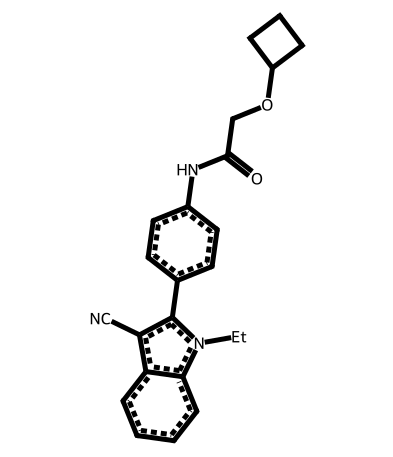 CCn1c(-c2ccc(NC(=O)COC3CCC3)cc2)c(C#N)c2ccccc21